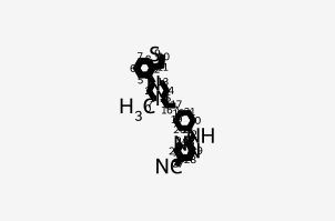 C[C@@H]1CN(c2cccc3sccc23)CCN1CC[C@H]1CC[C@H](Nc2ncc(C#N)cn2)CC1